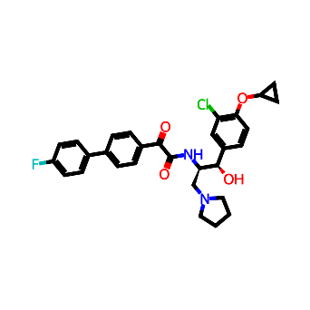 O=C(N[C@H](CN1CCCC1)[C@H](O)c1ccc(OC2CC2)c(Cl)c1)C(=O)c1ccc(-c2ccc(F)cc2)cc1